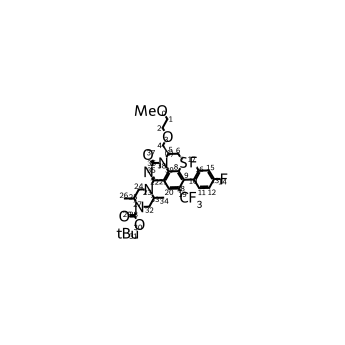 COCCOC[C@H]1CSc2c(-c3ccc(F)cc3F)c(C(F)(F)F)cc3c(N4CC(C)N(C(=O)OC(C)(C)C)CC4C)nc(=O)n1c23